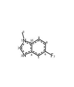 Cn1cnc2cc(F)ccc21